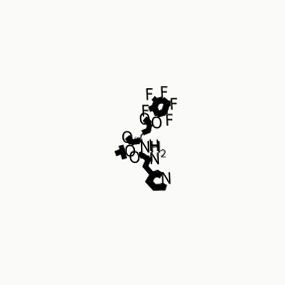 CC(C)(C)OC(=O)[C@H](CCC(=O)Oc1c(F)c(F)c(F)c(F)c1F)NC(=O)[C@@H](N)Cc1cccnc1